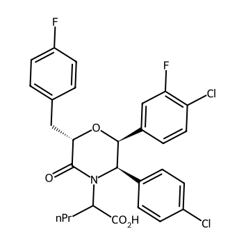 CCCC(C(=O)O)N1C(=O)[C@H](Cc2ccc(F)cc2)O[C@@H](c2ccc(Cl)c(F)c2)[C@H]1c1ccc(Cl)cc1